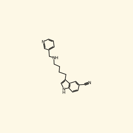 N#Cc1ccc2[nH]cc(CCCCNCc3cccnc3)c2c1